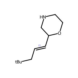 CC(C)(C)C/C=C/C1CNCCO1